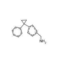 NCc1ccc(C2(c3ccccc3)CC2)cc1